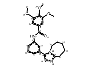 COc1cc(C(=O)Nc2cccc(-c3nnc4n3CCCCC4)c2)cc(OC)c1OC